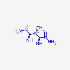 C=[N+](C(=N)NN)C(=N)NN